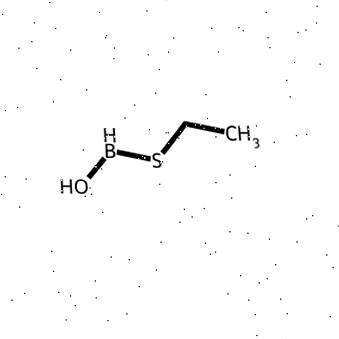 CCSBO